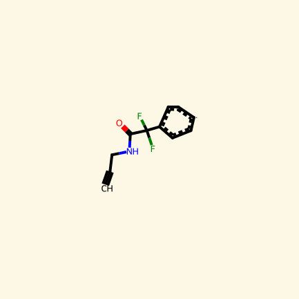 C#CCNC(=O)C(F)(F)c1cc[c]cc1